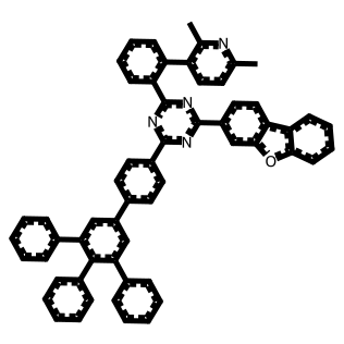 Cc1ccc(-c2ccccc2-c2nc(-c3ccc(-c4cc(-c5ccccc5)c(-c5ccccc5)c(-c5ccccc5)c4)cc3)nc(-c3ccc4c(c3)oc3ccccc34)n2)c(C)n1